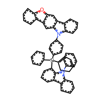 C1=CCCC([Si](c2ccccc2)(c2ccc(-n3c4ccccc4c4cc5oc6ccccc6c5cc43)cc2)c2cccc3c4ccccc4n(-c4ccccc4)c23)=C1